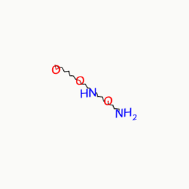 NCCCCOCCCCNCCCCOCCCCCCC1CO1